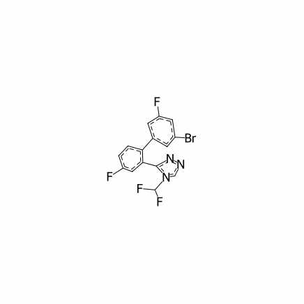 Fc1cc(Br)cc(-c2ccc(F)cc2-c2nncn2C(F)F)c1